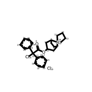 O=C(OC1CC2CCC(C1)[N+]21CCCC1)C(Cl)(c1ccccc1)c1ccccc1.[Cl-]